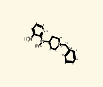 CC(C)N(c1ncccc1N)C1CCN(Cc2ccccc2)CC1